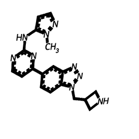 Cn1nccc1Nc1nccc(-c2ccc3c(c2)nnn3CC2CNC2)n1